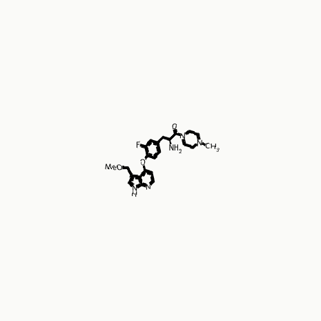 COCc1c[nH]c2nccc(Oc3ccc(C[C@H](N)C(=O)N4CCN(C)CC4)cc3F)c12